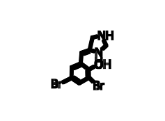 Oc1c(Br)cc(Br)cc1C=C1CNCN1